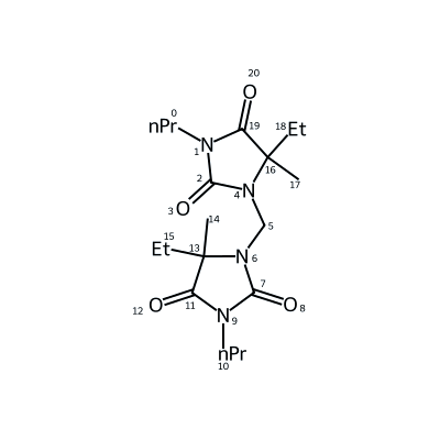 CCCN1C(=O)N(CN2C(=O)N(CCC)C(=O)C2(C)CC)C(C)(CC)C1=O